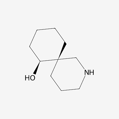 O[C@H]1CCCC[C@@]12CCCNC2